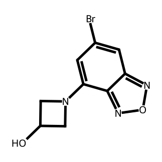 OC1CN(c2cc(Br)cc3nonc23)C1